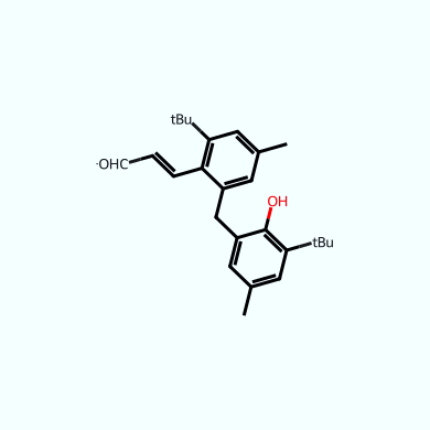 Cc1cc(Cc2cc(C)cc(C(C)(C)C)c2C=C[C]=O)c(O)c(C(C)(C)C)c1